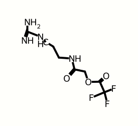 N=C(N)NCCCNC(=O)COC(=O)C(F)(F)F